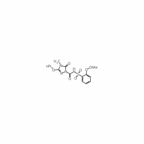 CCCOc1nn(C(=O)NS(=O)(=O)c2ccccc2OOC)c(=O)n1C